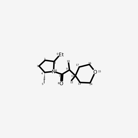 CCC1CC[C@@H](I)N1C(=O)C(C)C1(C)CCOCC1